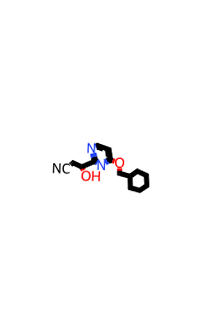 N#CCC(O)c1nccc(OCC2CCCCC2)n1